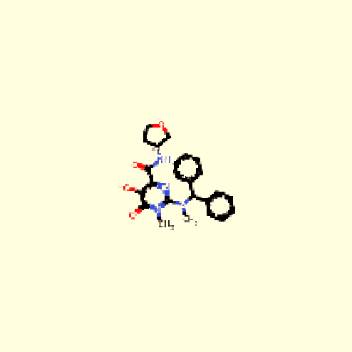 CN(c1nc(C(=O)N[C@@H]2CCOC2)c(O)c(=O)n1C)C(c1ccccc1)c1ccccc1